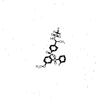 COc1ccc(S(=O)(=O)c2ccc([C@H](C)NS(=O)(=O)C(F)(F)F)cc2)c(S(=O)(=O)c2ccccc2F)c1